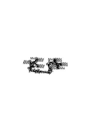 CO[Si](CCCC(CCC[Si](OC)(OC)OC)(CCC[Si](OC)(OC)OC)CNC(=O)C(F)(F)CC(F)(F)OC(F)(F)COCC(F)(F)CC(F)(F)OC(F)(F)COCCCCOCC(F)(F)OC(F)(F)CC(F)(F)COCC(F)(F)OC(F)(F)CC(F)(F)C(=O)NCC(CCC[Si](OC)(OC)OC)(CCC[Si](OC)(OC)OC)CCC[Si](OC)(OC)OC)(OC)OC